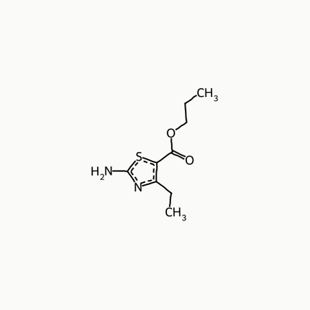 CCCOC(=O)c1sc(N)nc1CC